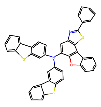 c1ccc(-c2nc3cc(N(c4ccc5c(c4)sc4ccccc45)c4ccc5sc6ccccc6c5c4)c4oc5ccccc5c4c3s2)cc1